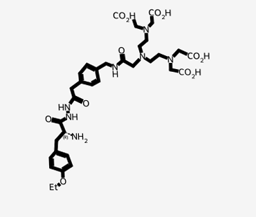 CCOc1ccc(C[C@@H](N)C(=O)NNC(=O)Cc2ccc(CNC(=O)CN(CCN(CC(=O)O)CC(=O)O)CCN(CC(=O)O)CC(=O)O)cc2)cc1